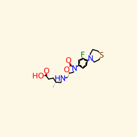 C[C@H](CCC(=O)O)CNC[C@H]1CN(c2ccc(N3CCCSCC3)c(F)c2)C(=O)O1